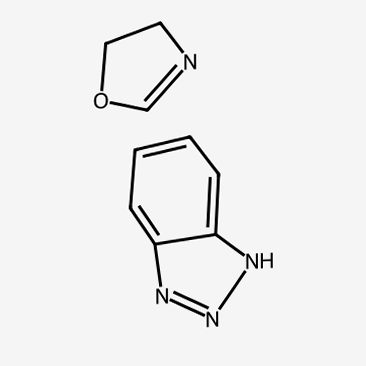 C1=NCCO1.c1ccc2[nH]nnc2c1